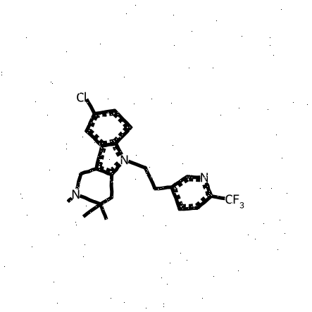 CN1Cc2c(n(CCc3ccc(C(F)(F)F)nc3)c3ccc(Cl)cc23)CC1(C)C